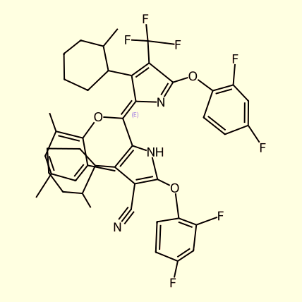 Cc1cc(C)c(O/C(=C2/N=C(Oc3ccc(F)cc3F)C(C(F)(F)F)=C2C2CCCCC2C)c2[nH]c(Oc3ccc(F)cc3F)c(C#N)c2C2CCCCC2C)c(C)c1